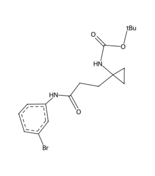 CC(C)(C)OC(=O)NC1(CCC(=O)Nc2cccc(Br)c2)CC1